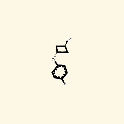 CC(C)[C@H]1C[C@H](Oc2ccc(F)cc2)C1